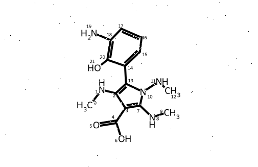 CNc1c(C(=O)O)c(NC)n(NC)c1-c1cccc(N)c1O